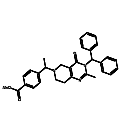 COC(=O)c1ccc(C(C)N2CCc3nc(C)n(C(c4ccccc4)c4ccccc4)c(=O)c3C2)cc1